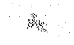 COCC(C)(C)NC(=O)C(F)(F)C(O)(Cn1cncn1)c1ccc(F)cc1F